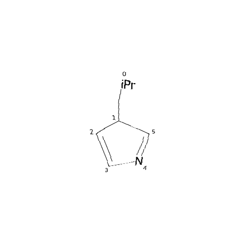 CC(C)C1C=CN=C1